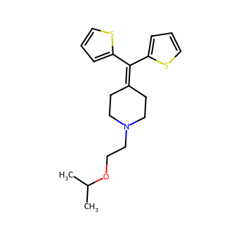 CC(C)OCCN1CCC(=C(c2cccs2)c2cccs2)CC1